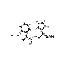 C=C(c1ccccc1C=O)N(C)CCC(SC)c1cccs1